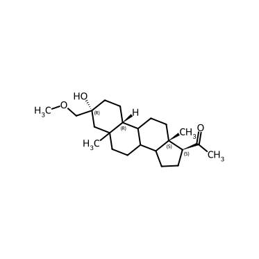 COC[C@@]1(O)CC[C@@H]2C3CC[C@@]4(C)C(CC[C@@H]4C(C)=O)C3CCC2(C)C1